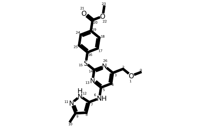 COCc1cc(Nc2cc(C)n[nH]2)nc(Sc2ccc(C(=O)OC)cc2)n1